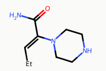 CC/C=C(/C(N)=O)N1CCNCC1